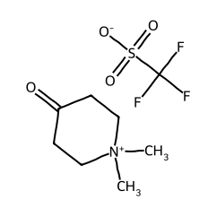 C[N+]1(C)CCC(=O)CC1.O=S(=O)([O-])C(F)(F)F